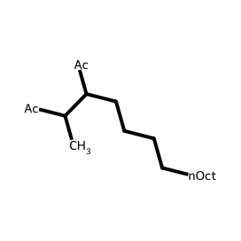 CCCCCCCCCCCCC(C(C)=O)C(C)C(C)=O